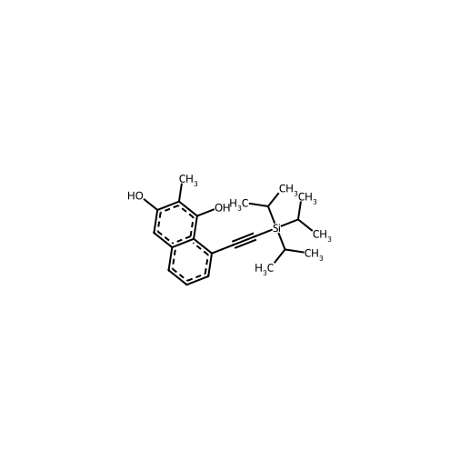 Cc1c(O)cc2cccc(C#C[Si](C(C)C)(C(C)C)C(C)C)c2c1O